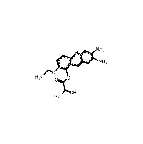 CCOc1ccc2nc3cc(N)c(N)cc3cc2c1OC(=O)C(C)O